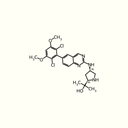 COc1cc(OC)c(Cl)c(-c2ccc3nc(N[C@H]4CN[C@@H](C(C)(C)O)C4)ncc3c2)c1Cl